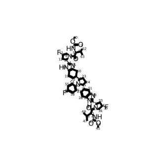 COC(=O)N[C@H](C(=O)N1C[C@@H](F)C[C@H]1c1nc2c([nH]1)C=CC([C@H]1CC[C@H](c3ccc4[nH]c([C@@H]5C[C@H](F)CN5C(=O)[C@@H](NC(=O)OC)C(C)C)nc4c3)N1c1ccc(F)cc1)C2)C(C)C